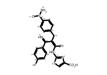 CC/C(Nc1nc(C(=O)O)cs1)=C(\Cc1ccc([S+](N)[O-])cc1)C(=N)c1ccc(F)cc1